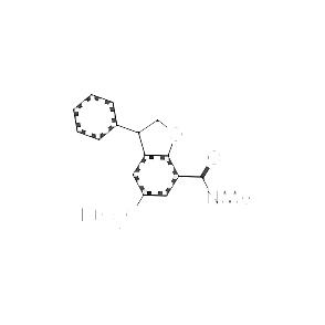 CCOC(=O)c1cc(C(=O)NC)c2c(c1)C(c1ccccc1)CO2